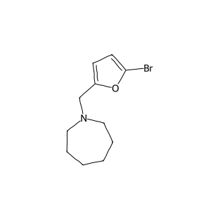 Brc1ccc(CN2CCCCCC2)o1